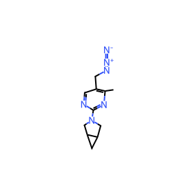 Cc1nc(N2CC3CC3C2)ncc1CN=[N+]=[N-]